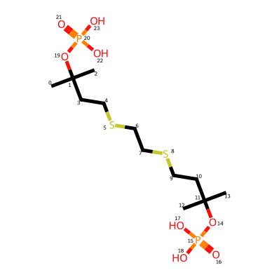 CC(C)(CCSCCSCCC(C)(C)OP(=O)(O)O)OP(=O)(O)O